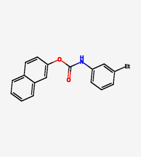 CCc1cccc(NC(=O)Oc2ccc3ccccc3c2)c1